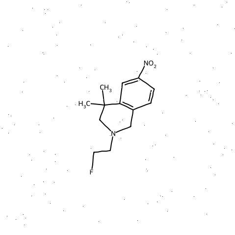 CC1(C)CN(CCF)Cc2ccc([N+](=O)[O-])cc21